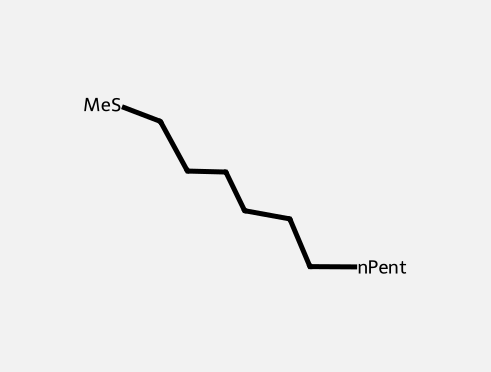 [CH2]CCCCCCCCCCSC